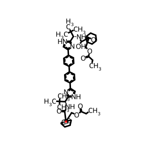 CCC(=O)OCC1(C(=O)N[C@H](c2nc(-c3ccc(-c4ccc(-c5c[nH]c([C@@H](NC(O)C6(COC(=O)CC)OC7CCC6CC7)C(C)(C)C)n5)cc4)cc3)c[nH]2)C(C)(C)C)OC2CCC1CC2